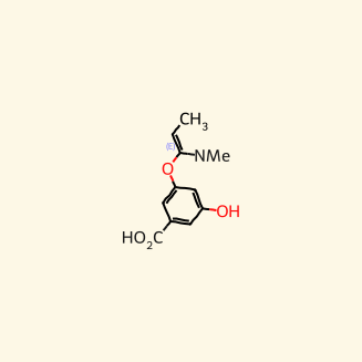 C/C=C(\NC)Oc1cc(O)cc(C(=O)O)c1